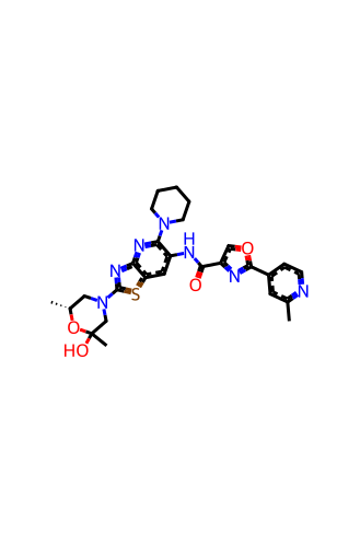 Cc1cc(-c2nc(C(=O)Nc3cc4sc(N5C[C@@H](C)OC(C)(O)C5)nc4nc3N3CCCCC3)co2)ccn1